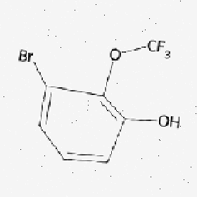 Oc1cccc(Br)c1OC(F)(F)F